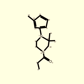 CCC(=O)N1CCN(c2cccc(C)c2)C(C)(C)C1